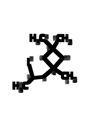 CC(I)CC1(C)CC(C)(C)C1